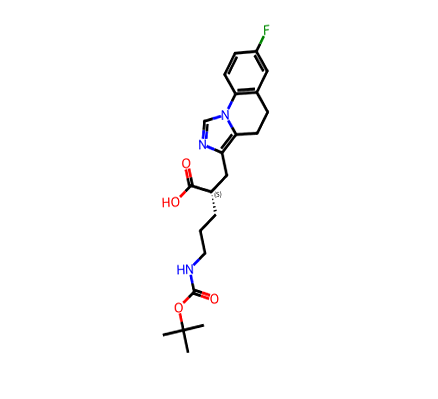 CC(C)(C)OC(=O)NCCC[C@@H](Cc1ncn2c1CCc1cc(F)ccc1-2)C(=O)O